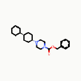 O=C(OCc1ccccc1)N1CCN([C@H]2CC[C@H](C3CCCCC3)CC2)CC1